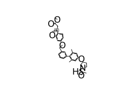 COC(=O)C[C@@H]1COc2cc(OCc3cccc(-c4c(C)cc(OC5CCN([SH](C)(C)=O)C5)cc4C)c3)ccc21